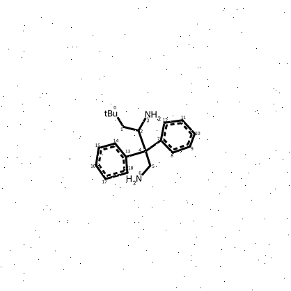 CC(C)(C)CC(N)C(CN)(c1ccccc1)c1ccccc1